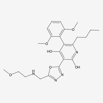 CCCCc1nc(O)c(-c2nnc(CNCCOC)o2)c(O)c1-c1c(OC)cccc1OC